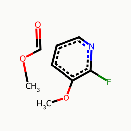 COC=O.COc1cccnc1F